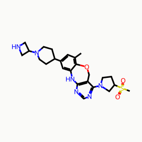 Cc1cc(C2CCN(C3CNC3)CC2)cc2c1OCc1c(ncnc1N1CCC(S(C)(=O)=O)C1)N2